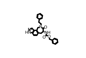 O=C(N[C@@H]1Cc2ccc3[nH]ncc3c2CN(CCc2ccccc2)C1=O)OCc1ccccc1